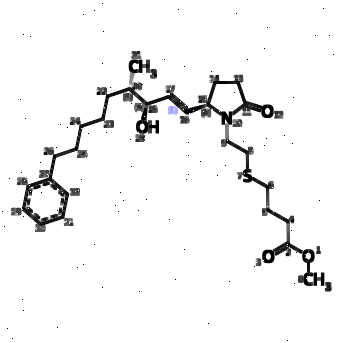 COC(=O)CCCSCCN1C(=O)CC[C@@H]1/C=C/[C@@H](O)[C@@H](C)CCCCCc1ccccc1